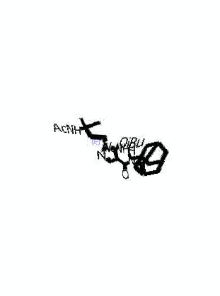 CC(=O)NCC12CC3CC(C1)C(NC(=O)c1cnn(/C=C/C(C)(C)NC(C)=O)c1OCC(C)C)C(C3)C2